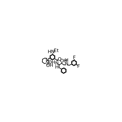 CCNc1cc(C(=O)NC(Cc2ccccc2)C(O)CNCc2cc(F)cc(F)c2)cc(N2CCCCS2(O)O)c1